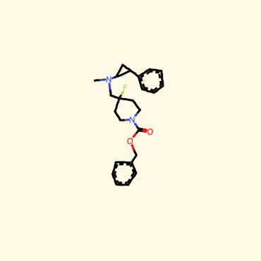 CN(CC1(F)CCN(C(=O)OCc2ccccc2)CC1)C1CC1c1ccccc1